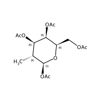 CC(=O)OC[C@H]1O[C@@H](OC(C)=O)[C@H](C)[C@@H](OC(C)=O)[C@H]1OC(C)=O